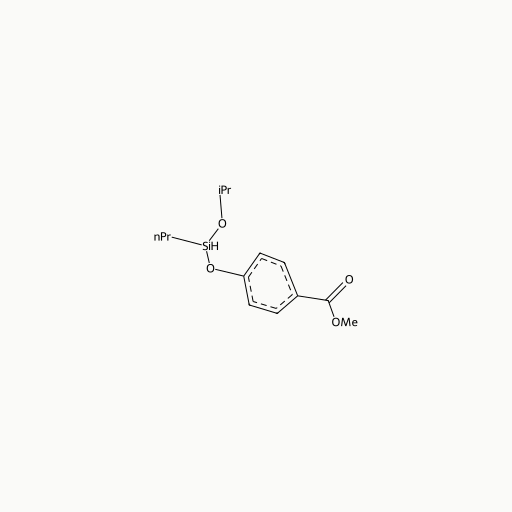 CCC[SiH](Oc1ccc(C(=O)OC)cc1)OC(C)C